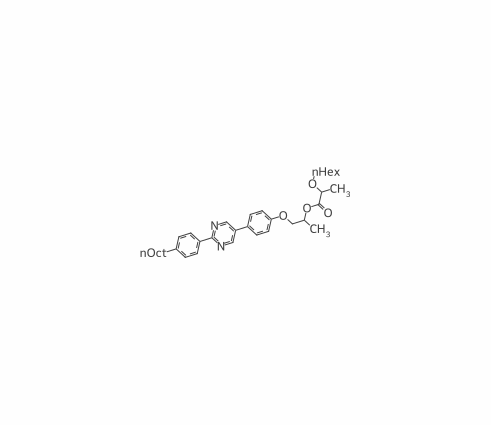 CCCCCCCCc1ccc(-c2ncc(-c3ccc(OCC(C)OC(=O)C(C)OCCCCCC)cc3)cn2)cc1